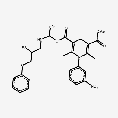 CCCC(NCC(O)COc1ccccc1)OC(=O)C1=C(C)N(c2cccc([N+](=O)[O-])c2)C(C)=C(C(=O)OC)C1